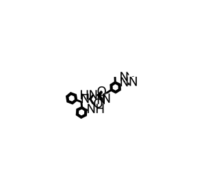 C=NN(/C=N\C)c1ccc(-c2nnc(NC3N=C(c4ccccc4)c4ccccc4NC3=O)o2)cc1C